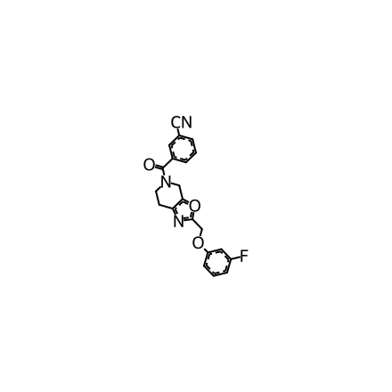 N#Cc1cccc(C(=O)N2CCc3nc(COc4cccc(F)c4)oc3C2)c1